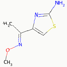 [CH2]C(=NOC)c1csc(N)n1